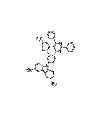 CC(C)(C)c1ccc2c(c1)c1cc(C(C)(C)C)ccc1n2-c1ccc(-c2nc(-c3ccccc3)nc(-c3ccccc3)n2)c(-c2ccc(C(F)(F)F)cc2)c1